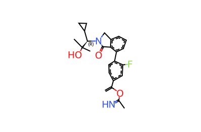 C=C(OC(C)=N)c1ccc(-c2cccc3c2C(=O)N([C@H](C2CC2)C(C)(C)O)C3)c(F)c1